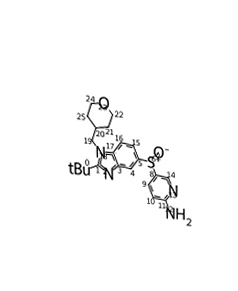 CC(C)(C)c1nc2cc([S+]([O-])c3ccc(N)nc3)ccc2n1CC1CCOCC1